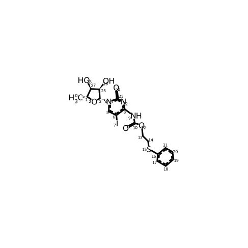 C[C@H]1O[C@@H](n2cc(I)c(NC(=O)OCCSc3ccccc3)nc2=O)[C@H](O)[C@@H]1O